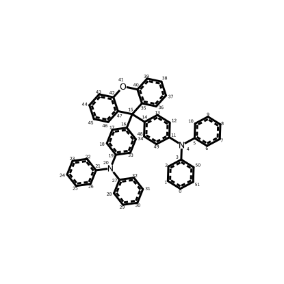 c1ccc(N(c2ccccc2)c2ccc(C3(c4ccc(N(c5ccccc5)c5ccccc5)cc4)c4ccccc4Oc4ccccc43)cc2)cc1